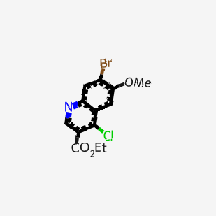 CCOC(=O)c1cnc2cc(Br)c(OC)cc2c1Cl